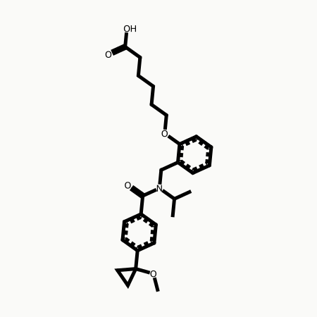 COC1(c2ccc(C(=O)N(Cc3ccccc3OCCCCCC(=O)O)C(C)C)cc2)CC1